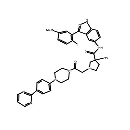 CCCC1(C(=O)Nc2ccc3[nH]nc(-c4cc(OC)ncc4F)c3c2)CCN(CC(=O)N2CCN(c3ccc(-c4ncccn4)cc3)CC2)C1